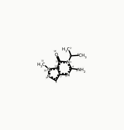 CC(C)n1c(N)nc2cnn(C)c2c1=O